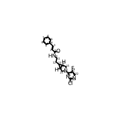 O=C(C=Cc1ccccc1)NCCC1[C@H]2CN(c3nc(Cl)ncc3F)C[C@@H]12